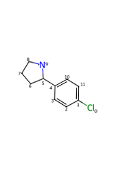 Clc1ccc(C2CCC[N]2)cc1